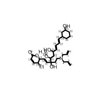 C=CCN(CC=C)CCC(O)(C=CC1OC(=O)C=CC1CC)C(CC(O)C=CC=CC1CCCC(O)C1)OP